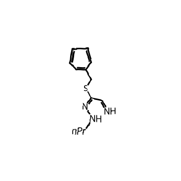 CCCN/N=C(\C=N)SCc1ccccc1